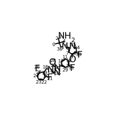 CC1(CN)CN(c2cc(Oc3ccc(-n4ncn(Cc5c(F)cccc5F)c4=O)cc3F)c(F)cn2)C1